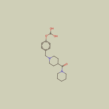 O=C(C1CCN(Cc2ccc(OB(O)O)cc2)CC1)N1CCCCC1